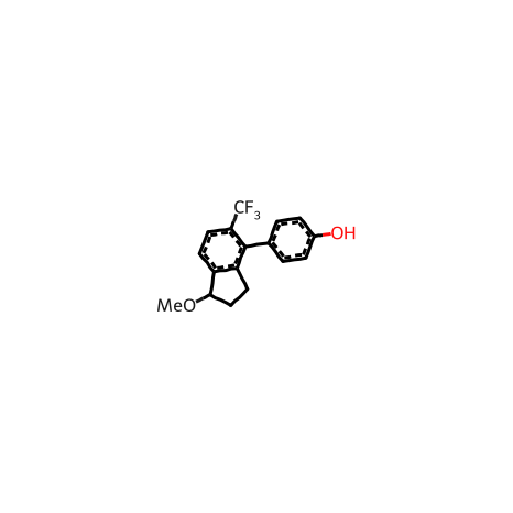 COC1CCc2c1ccc(C(F)(F)F)c2-c1ccc(O)cc1